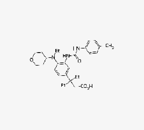 CCN(c1ccc(C(CC)(CC)CC(=O)O)cc1NC(=O)Nc1ccc(C)cc1)C1CCOCC1